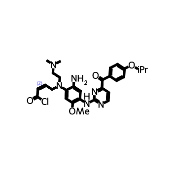 COc1cc(N(C/C=C\C(=O)Cl)CCN(C)C)c(N)cc1Nc1nccc(C(=O)c2ccc(OC(C)C)cc2)n1